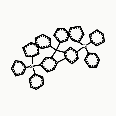 c1ccc(C2(c3ccccc3)c3cc([Si](c4ccccc4)(c4ccccc4)c4ccccc4)ccc3-c3ccc([Si](c4ccccc4)(c4ccccc4)c4ccccc4)cc32)cc1